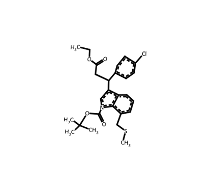 CCOC(=O)CC(c1ccc(Cl)cc1)c1cn(C(=O)OC(C)(C)C)c2c(CSC)cccc12